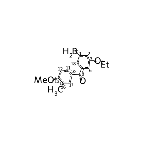 Bc1cc(OCC)cc(C(=O)c2ccc(OC)c(C)c2)c1